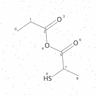 CCC(=O)OC(=O)C(C)S